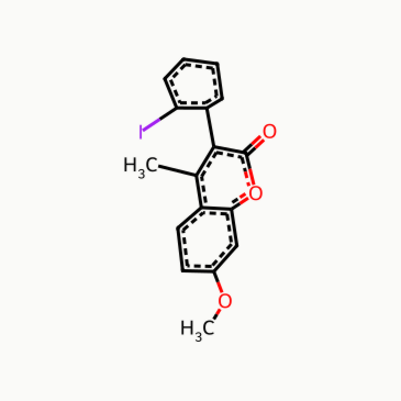 COc1ccc2c(C)c(-c3ccccc3I)c(=O)oc2c1